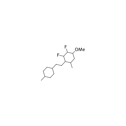 COC1CC(C)C(CCC2CCC(C)CC2)C(F)C1F